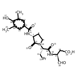 Cc1cc(C(=O)N[C@@H]2CCN([C@@H](CC(C)C)C(=O)N[C@H](C=O)CC(=O)O)C2=O)cc(C)c1O